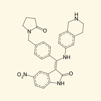 O=C1Nc2ccc([N+](=O)[O-])cc2C1=C(Nc1ccc2c(c1)CCNC2)c1ccc(CN2CCCC2=O)cc1